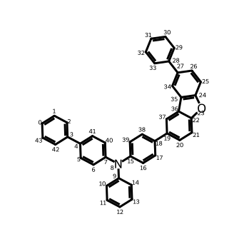 c1ccc(-c2ccc(N(c3ccccc3)c3ccc(-c4ccc5oc6ccc(-c7ccccc7)cc6c5c4)cc3)cc2)cc1